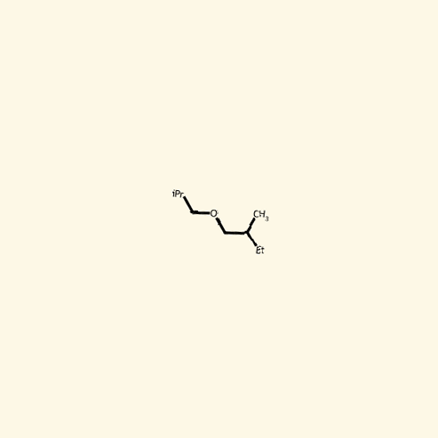 CCC(C)COCC(C)C